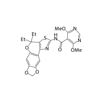 CCC1(CC)Oc2cc3c(cc2-c2nc(NC(=O)c4c(OC)ncnc4OC)sc21)OCO3